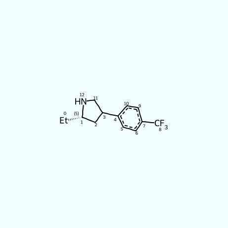 CC[C@H]1CC(c2ccc(C(F)(F)F)cc2)CN1